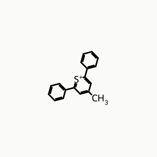 Cc1cc(-c2ccccc2)[s+]c(-c2ccccc2)c1